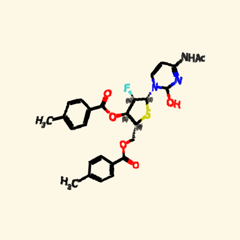 CC(=O)NC1=NC(O)N([C@@H]2S[C@H](COC(=O)c3ccc(C)cc3)[C@@H](OC(=O)c3ccc(C)cc3)[C@@H]2F)C=C1